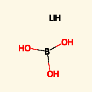 OB(O)O.[LiH]